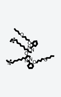 CCCCOCCCCOc1ccccc1-c1ncc(Oc2cnc(-c3ccccc3OCCCCOCCCC)nc2CCCCCC[Si](C)(C)CC)c(CCCCCC[Si](C)(C)CC)n1